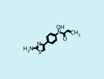 C=CC(=O)N(O)c1ccc(-c2csc(N)n2)cc1